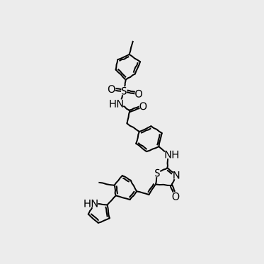 Cc1ccc(S(=O)(=O)NC(=O)Cc2ccc(NC3=NC(=O)C(=Cc4ccc(C)c(-c5ccc[nH]5)c4)S3)cc2)cc1